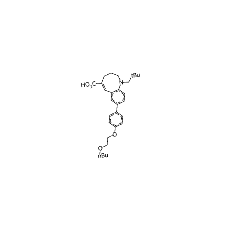 CCCCOCCOc1ccc(-c2ccc3c(c2)/C=C(/C(=O)O)CCCN3CC(C)(C)C)cc1